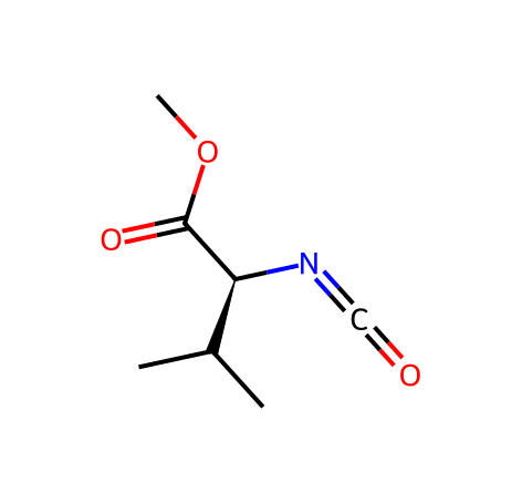 COC(=O)[C@@H](N=C=O)C(C)C